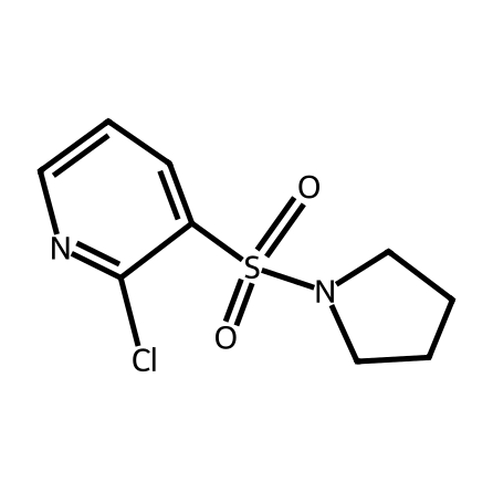 O=S(=O)(c1cccnc1Cl)N1CCCC1